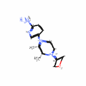 C[C@@H]1[C@H](C)N(c2ccc(N)nc2)CCN1C1COC1